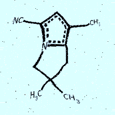 Cc1cc(C#N)n2c1CC(C)(C)C2